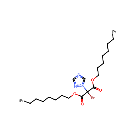 CC(C)CCCCCCCOC(=O)C(Br)(C(=O)OCCCCCCCC(C)C)n1cncn1